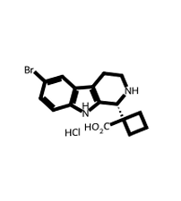 Cl.O=C(O)C1([C@H]2NCCc3c2[nH]c2ccc(Br)cc32)CCC1